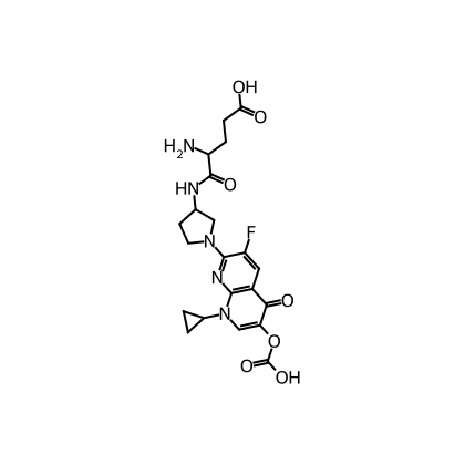 NC(CCC(=O)O)C(=O)NC1CCN(c2nc3c(cc2F)c(=O)c(OC(=O)O)cn3C2CC2)C1